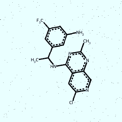 Cc1nc(NC(C)c2cc(N)cc(C(F)(F)F)c2)c2cc(Cl)ncc2n1